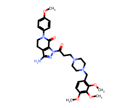 COc1ccc(N2CCc3c(N)nn(C(=O)CCN4CCN(Cc5ccc(OC)c(OC)c5OC)CC4)c3C2=O)cc1